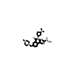 CCCCNc1ncc2c3ccc(CN4CCN(C)CC4)cc3c(=O)n([C@H]3CCC(N(C)C)C3)c2n1